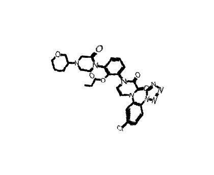 CCC(=O)Oc1c(N2CCN(C3CCCOC3)CC2=O)cccc1N1CCN(c2cc(Cl)ccc2-n2cnnn2)C(=O)C1=O